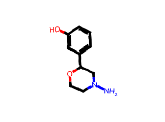 NN1CCOC(c2cccc(O)c2)C1